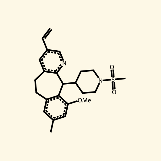 C=Cc1cnc2c(c1)CCc1cc(C)cc(OC)c1C2C1CCN(S(C)(=O)=O)CC1